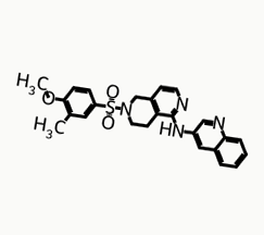 COc1ccc(S(=O)(=O)N2CCc3c(ccnc3Nc3cnc4ccccc4c3)C2)cc1C